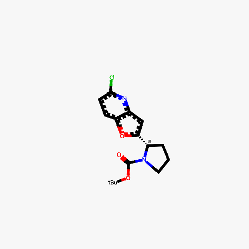 CC(C)(C)OC(=O)N1CCC[C@H]1c1cc2nc(Cl)ccc2o1